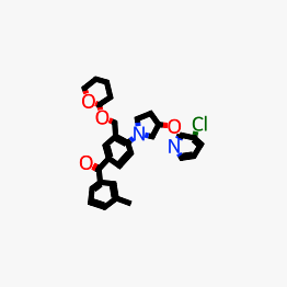 Cc1cccc(C(=O)c2ccc(N3CCC(Oc4ncccc4Cl)C3)c(COC3CCCCO3)c2)c1